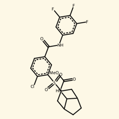 COC(=O)NC1C2CCC1CC(S(=O)(=O)c1cc(C(=O)Nc3cc(F)c(F)c(F)c3)ccc1Cl)C2